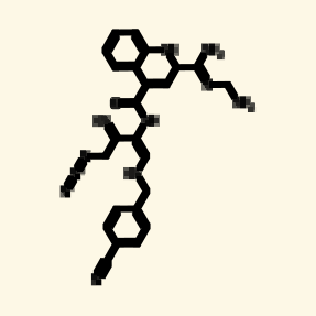 N#Cc1ccc(CN/C=C(/NC(=O)C2=CC(/C(N)=N/CN)Nc3ccccc32)C(=N)CN=[N+]=[N-])cc1